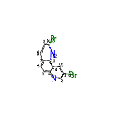 Brc1cnc2ccc3ccc(Br)nc3c2c1